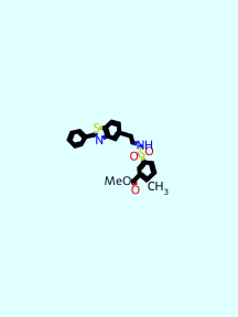 COC(=O)c1cc(S(=O)(=O)NCCc2ccc3sc(-c4ccccc4)nc3c2)ccc1C